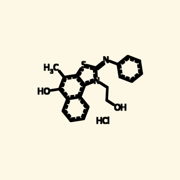 Cc1c(O)c2ccccc2c2c1sc(=Nc1ccccc1)n2CCO.Cl